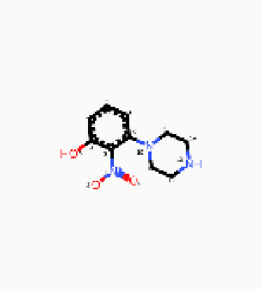 O=[N+]([O-])c1c(O)cccc1N1CCNCC1